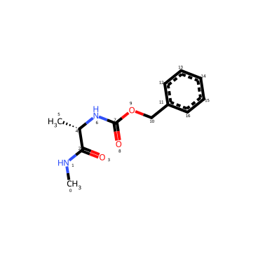 CNC(=O)[C@H](C)NC(=O)OCc1ccccc1